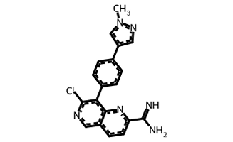 Cn1cc(-c2ccc(-c3c(Cl)ncc4ccc(C(=N)N)nc34)cc2)cn1